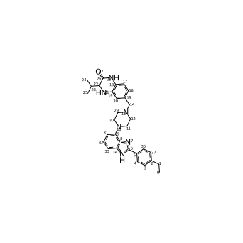 CCc1ccc(-c2nc3c(N4CCN(Cc5ccc6c(c5)NC(C(C)C)C(=O)N6)CC4)cccc3[nH]2)cc1